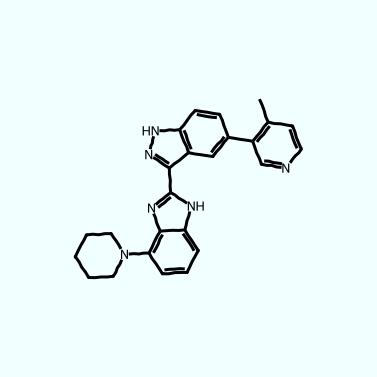 Cc1ccncc1-c1ccc2[nH]nc(-c3nc4c(N5CCCCC5)cccc4[nH]3)c2c1